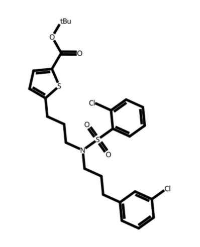 CC(C)(C)OC(=O)c1ccc(CCCN(CCCc2cccc(Cl)c2)S(=O)(=O)c2ccccc2Cl)s1